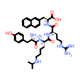 CC(C)NCCCC[C@H](NC(=O)[C@@H](N)Cc1ccc(O)cc1)C(=O)N[C@H](CCCNC(=N)N)C(=O)N[C@@H](Cc1ccc2ccccc2c1)C(=O)O